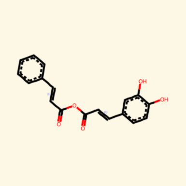 O=C(/C=C/c1ccccc1)OC(=O)/C=C/c1ccc(O)c(O)c1